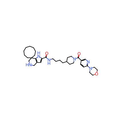 O=C(NCCCCC1CCN(C(=O)c2ccc(N3CCOCC3)nc2)CC1)c1cc2c([nH]1)C1(CCCCCCCC1)CNC2